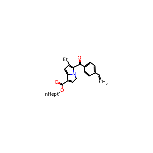 C=Cc1ccc(C(=O)c2c(CC)cc3n2CC=C3C(=O)OCCCCCCC)cc1